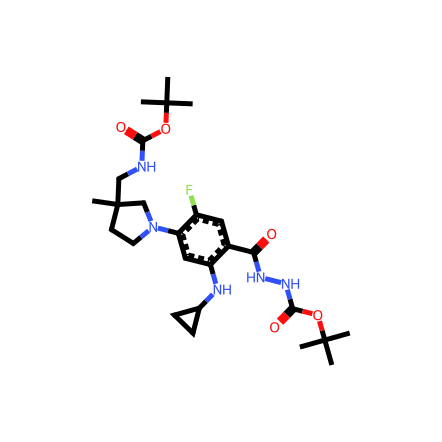 CC1(CNC(=O)OC(C)(C)C)CCN(c2cc(NC3CC3)c(C(=O)NNC(=O)OC(C)(C)C)cc2F)C1